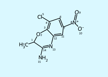 CC1Oc2c(Cl)cc([N+](=O)[O-])cc2N=C1N